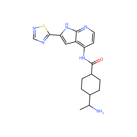 CC(N)C1CCC(C(=O)Nc2ccnc3[nH]c(-c4ncns4)cc23)CC1